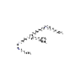 CCCCC/C=C\C/C=C\CCCCCCCCC(CCCCCCCC/C=C\CCCCCCCC)C(=O)OCCCN(C)C